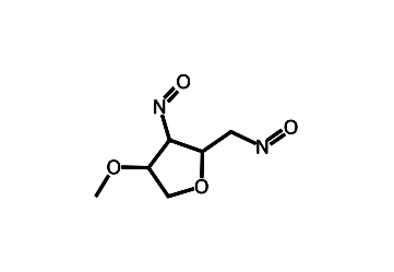 COC1COC(CN=O)C1N=O